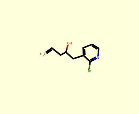 C=CCC(O)Cc1cccnc1Br